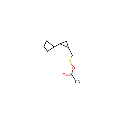 N#CC(=O)OSCC1CC1C1CCC1